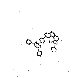 C1=CC(C2Nc3c(ccc4ccc5ccc(-c6ccc(-c7nc(-c8ccccc8)cc(-c8ccccc8)n7)cc6)cc5c34)S2)=CCC1